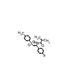 C=C(C)C(=O)NC(=CS(=O)(=O)c1ccc(C)cc1)c1ccc(F)cc1